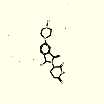 CCN1CCN(c2ccc3c(c2)C(=O)N(C2CCC(=O)NC2=O)C3O)CC1